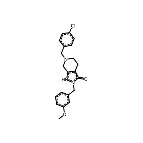 COc1cccc(Cn2[nH]c3c(c2=O)CCN(Cc2ccc(Cl)cc2)C3)c1